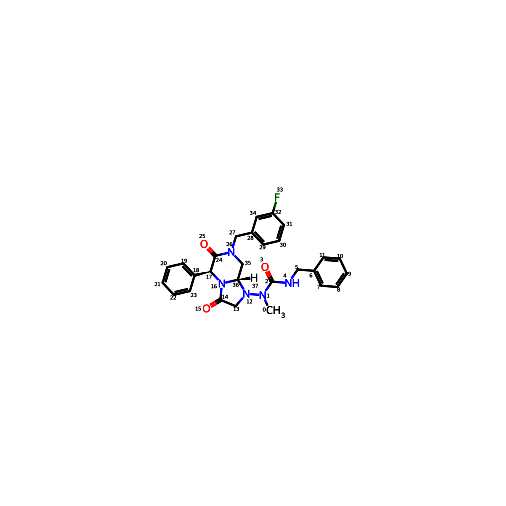 CN(C(=O)NCc1ccccc1)N1CC(=O)N2[C@@H](c3ccccc3)C(=O)N(Cc3cccc(F)c3)C[C@@H]21